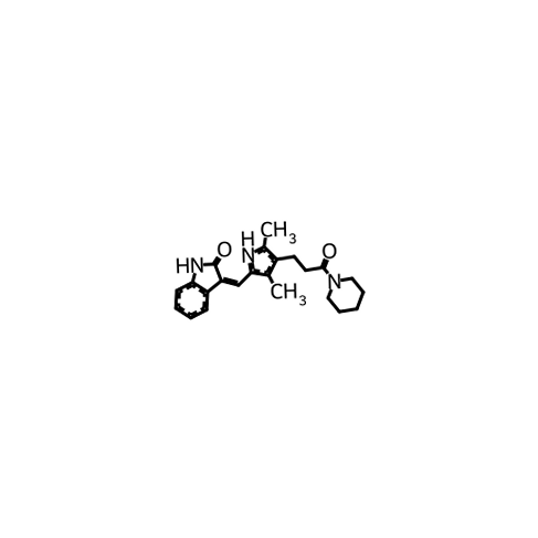 Cc1[nH]c(/C=C2\C(=O)Nc3ccccc32)c(C)c1CCC(=O)N1CCCCC1